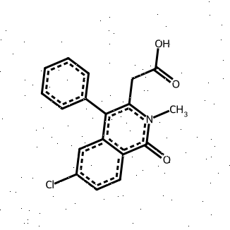 Cn1c(CC(=O)O)c(-c2ccccc2)c2cc(Cl)ccc2c1=O